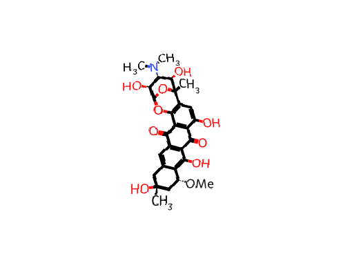 CO[C@@H]1C[C@](C)(O)Cc2cc3c(c(O)c21)C(=O)c1c(O)cc2c(c1C3=O)OC1OC2(C)[C@H](O)[C@@H](N(C)C)[C@@H]1O